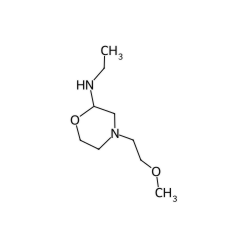 CCNC1CN(CCOC)CCO1